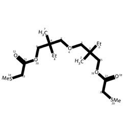 CCC(C)(COCC(C)(CC)COC(=O)CSC)COC(=O)CSC